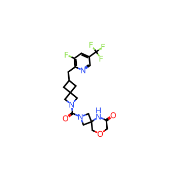 O=C1COCC2(CN(C(=O)N3CC4(CC(Cc5ncc(C(F)(F)F)cc5F)C4)C3)C2)N1